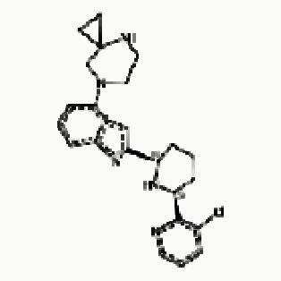 Clc1cccnc1[C@@H]1CCC[C@H](c2cn3c(N4CCNC5(CC5)C4)cccc3n2)N1